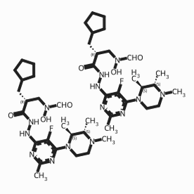 Cc1nc(NNC(=O)[C@H](CC2CCCC2)CN(O)C=O)c(F)c(N2CCN(C)[C@@H](C)[C@@H]2C)n1.Cc1nc(NNC(=O)[C@H](CC2CCCC2)CN(O)C=O)c(F)c(N2CCN(C)[C@@H](C)[C@@H]2C)n1